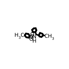 Cc1ccc([C@@H](NS(=O)(=O)c2ccc(C)cc2)c2ccccc2)cc1